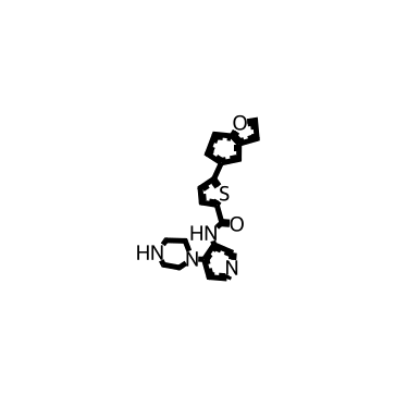 O=C(Nc1cnccc1N1CCNCC1)c1ccc(-c2ccc3occc3c2)s1